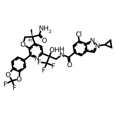 C[C@]1(C(N)=O)COc2c1cc(C(O)(CNC(=O)c1cc(Cl)c3nn(C4CC4)cc3c1)C(F)(F)F)nc2-c1ccc2c(c1)OC(F)(F)O2